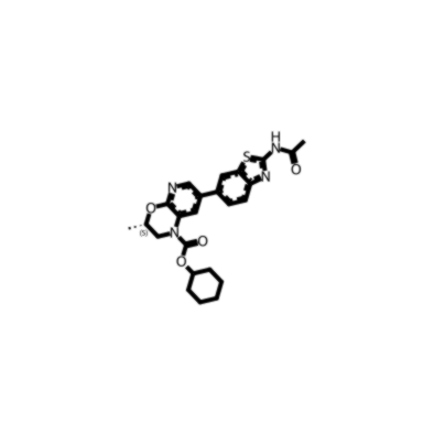 CC(=O)Nc1nc2ccc(-c3cnc4c(c3)N(C(=O)OC3CCCCC3)C[C@H](C)O4)cc2s1